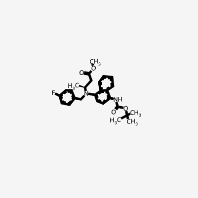 COC(=O)C[C@H](C)N(Cc1ccc(F)cc1)c1ccc(NC(=O)OC(C)(C)C)c2ccccc12